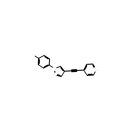 Fc1ccc(-n2cc(C#Cc3ccncc3)cn2)cc1